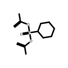 C=C(C)OP(=O)(OC(=C)C)C1CCCCC1